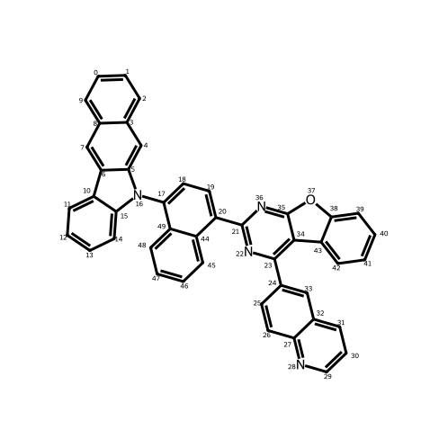 c1ccc2cc3c(cc2c1)c1ccccc1n3-c1ccc(-c2nc(-c3ccc4ncccc4c3)c3c(n2)oc2ccccc23)c2ccccc12